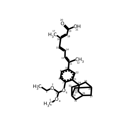 CCOC(OC)Oc1ccc(C(C)=CC=CC(C)=CC(=O)O)cc1C12CC3CC(CC(C3)C1)C2